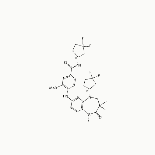 COc1cc(C(=O)N[C@@H]2CCC(F)(F)C2)ccc1Nc1ncc2c(n1)N([C@@H]1CCC(F)(F)C1)CC(C)(C)C(=O)N2C